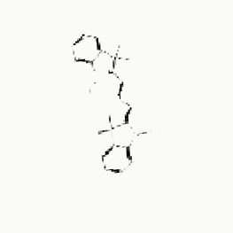 CC[N+]1=C(/C=C/C=C2/N(C(C)(C)C)c3ccccc3C2(C)C)C(C)(C)c2ccccc21